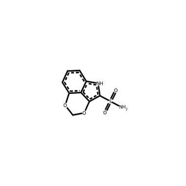 NS(=O)(=O)c1[nH]c2cccc3c2c1OCO3